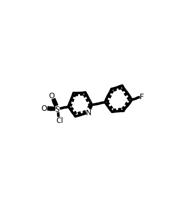 O=S(=O)(Cl)c1ccc(-c2ccc(F)cc2)nc1